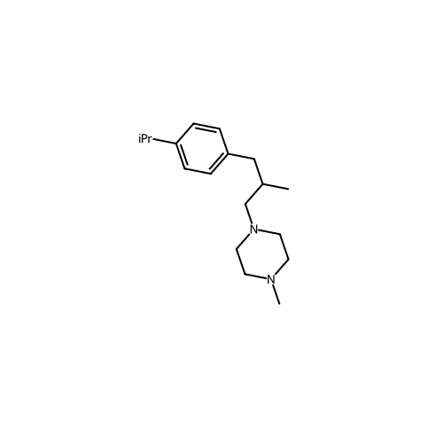 CC(Cc1ccc(C(C)C)cc1)CN1CCN(C)CC1